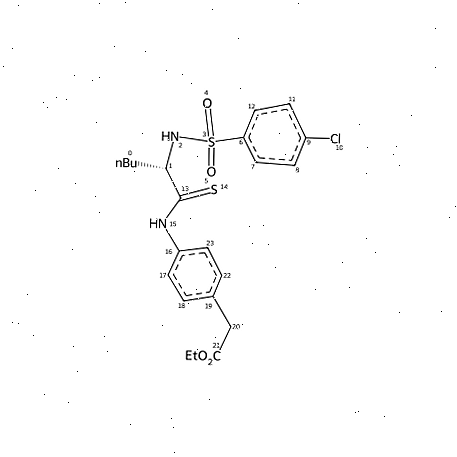 CCCC[C@H](NS(=O)(=O)c1ccc(Cl)cc1)C(=S)Nc1ccc(CC(=O)OCC)cc1